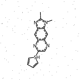 Cc1nc2cc3nc([SH]4C=CC=C4)cnc3cc2n1C